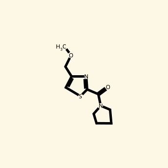 COCc1csc(C(=O)N2CCCC2)n1